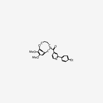 CCc1ccc(-c2cc(C(=O)N3CCCCOc4cc(cc(OC)c4OC)C3)ccn2)cc1